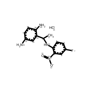 CC(Nc1ccc(F)cc1[N+](=O)[O-])c1cc(N)ccc1N.Cl